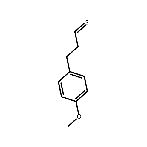 COc1ccc(CC[C]=S)cc1